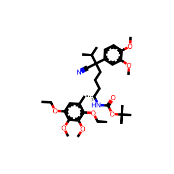 CCOc1cc(C[C@H](CCCC(C#N)(c2ccc(OC)c(OC)c2)C(C)C)NC(=O)OC(C)(C)C)c(OCC)c(OC)c1OC